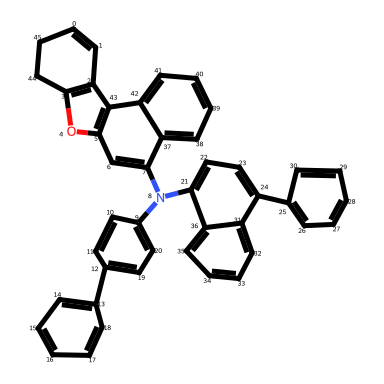 C1=Cc2c(oc3cc(N(c4ccc(-c5ccccc5)cc4)c4ccc(-c5ccccc5)c5ccccc45)c4ccccc4c23)CC1